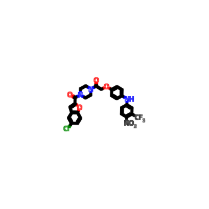 O=C(COc1ccc(Nc2ccc([N+](=O)[O-])c(C(F)(F)F)c2)cc1)N1CCN(C(=O)c2cc3cc(Cl)ccc3o2)CC1